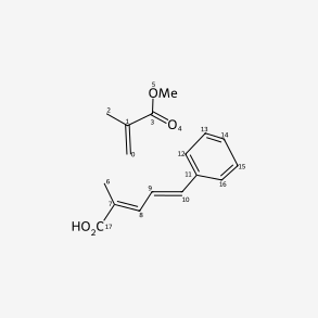 C=C(C)C(=O)OC.CC(=CC=Cc1ccccc1)C(=O)O